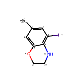 CC(C)(C)c1cc(I)c2c(c1)OCCN2